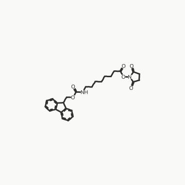 O=C(CCCCCCCNC(=O)OCC1c2ccccc2-c2ccccc21)ON1C(=O)CCC1=O